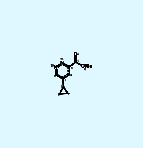 COC(=O)c1cc(C2CC2)cnn1